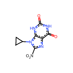 O=c1[nH]c(=O)c2nc([N+](=O)[O-])n(C3CC3)c2[nH]1